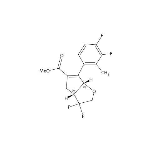 COC(=O)C1=C(c2ccc(F)c(F)c2C)[C@@H]2OCC(F)(F)[C@@H]2C1